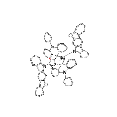 c1ccc(N2c3ccccc3C3(c4ccccc42)c2cc(-n4c5ccccc5c5cc6c(cc54)oc4ccccc46)sc2C2(c4ccccc4N(c4ccccc4)c4ccccc42)c2cc(-n4c5ccccc5c5cc6c(cc54)oc4ccccc46)sc23)cc1